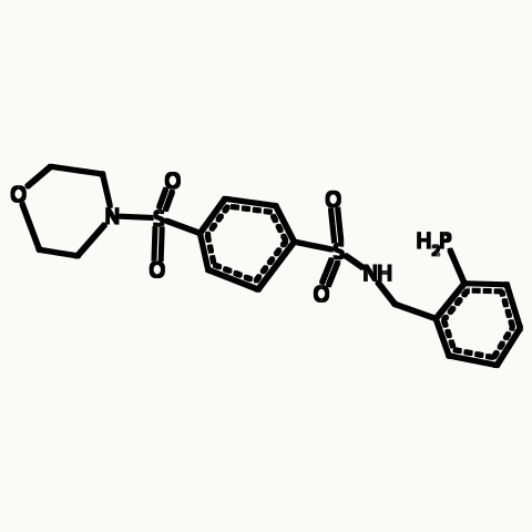 O=S(=O)(NCc1ccccc1P)c1ccc(S(=O)(=O)N2CCOCC2)cc1